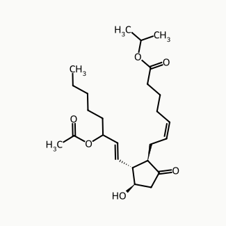 CCCCCC(/C=C/[C@H]1[C@H](O)CC(=O)[C@@H]1C/C=C\CCCC(=O)OC(C)C)OC(C)=O